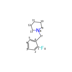 Fc1ccccc1CN1CCCCC1